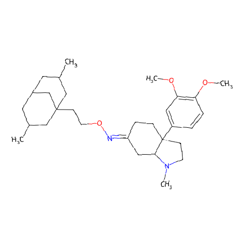 COc1ccc(C23CC/C(=N\OCCC45CC(C)CC(CC(C)C4)C5)CC2N(C)CC3)cc1OC